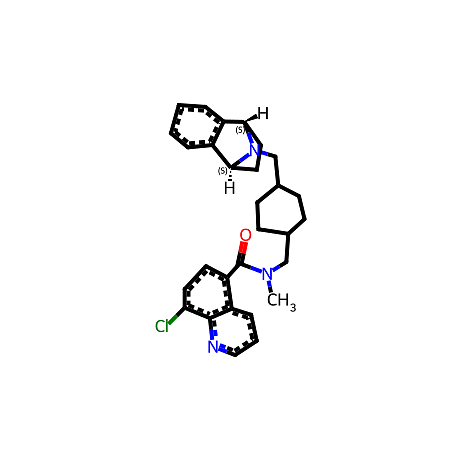 CN(CC1CCC(CN2[C@H]3CC[C@H]2c2ccccc23)CC1)C(=O)c1ccc(Cl)c2ncccc12